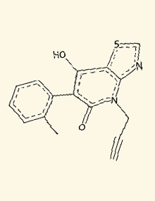 C#CCn1c(=O)c(-c2ccccc2C)c(O)c2scnc21